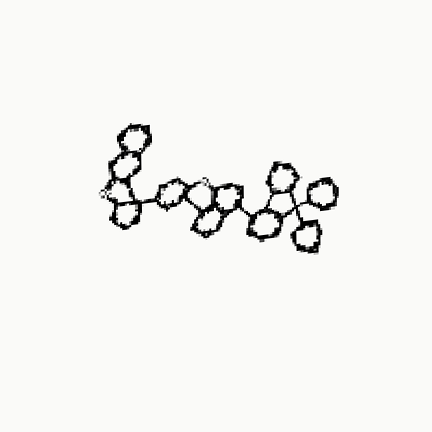 c1ccc(C2(c3ccccc3)c3ccccc3-c3c(-c4ccc5c6c(cccc46)-c4cc(-c6cccc7oc8cc9ccccc9cc8c67)ccc4O5)cccc32)cc1